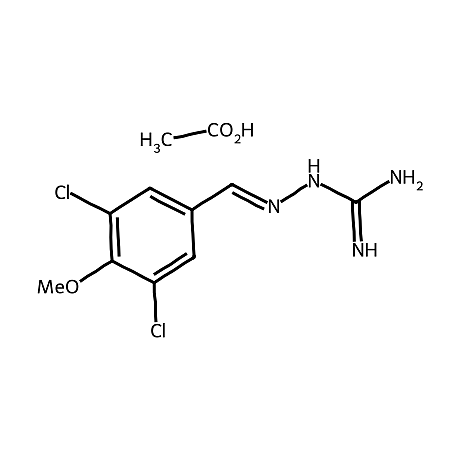 CC(=O)O.COc1c(Cl)cc(/C=N/NC(=N)N)cc1Cl